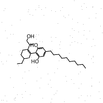 CCCCCCCCCCc1cc(O)c(C2=C(C(C)CO)CCC(CC)C2)c(O)c1